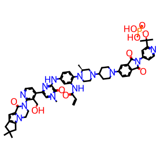 C=CC(=O)Nc1cc(Nc2nc(-c3ccnc(N4CCn5c(cc6c5CC(C)(C)C6)C4=O)c3CO)cn(C)c2=O)ccc1N1CCN(C2CCN(c3ccc4c(c3)C(=O)N(c3ccnc(C(C)(C)OP(=O)(O)O)c3)C4=O)CC2)C[C@@H]1C